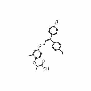 Cc1cc(OCC=C(c2ccc(Cl)cc2)c2ccc(I)cc2)ccc1OC(C)C(=O)O